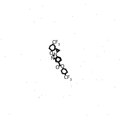 O=C(OC1CCC(C(F)(F)F)CC1)c1ccc2c(c1)nc(OC1CCC(C(F)(F)F)CC1)n2C1CC1